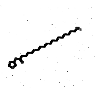 CCCCCCCCCCCCCCCCCCCC(=O)OC1CCOC1